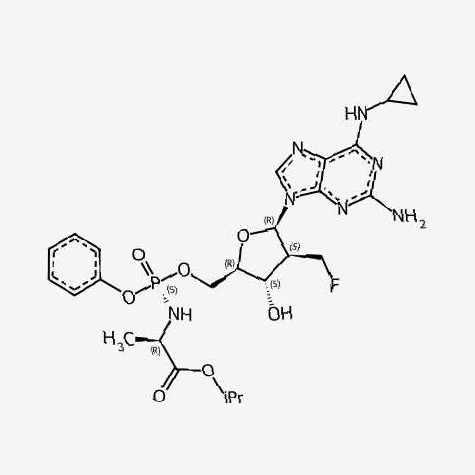 CC(C)OC(=O)[C@@H](C)N[P@](=O)(OC[C@H]1O[C@@H](n2cnc3c(NC4CC4)nc(N)nc32)[C@@H](CF)[C@@H]1O)Oc1ccccc1